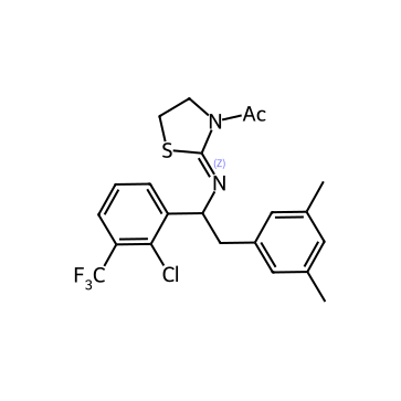 CC(=O)N1CCS/C1=N\C(Cc1cc(C)cc(C)c1)c1cccc(C(F)(F)F)c1Cl